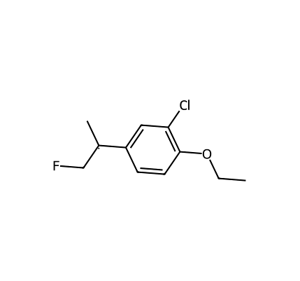 CCOc1ccc([C](C)CF)cc1Cl